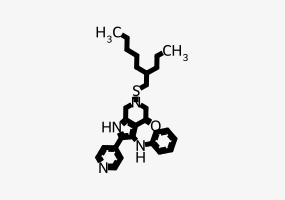 CCCCCC(CCC)CSN1CC(=O)c2c([nH]c(-c3ccncc3)c2Nc2ccccc2)C1